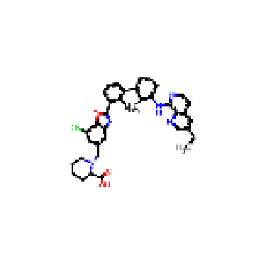 C=Cc1cnc2c(Nc3cccc(-c4cccc(-c5nc6cc(CN7CCCCC7C(=O)O)cc(Cl)c6o5)c4C)c3C)nccc2c1